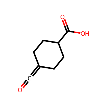 O=C=C1CCC(C(=O)O)CC1